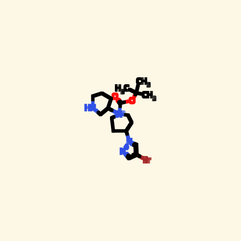 CC(C)(C)OC(=O)[N+]1(C2CCCNC2)CCC(n2cc(Br)cn2)CC1